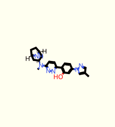 Cc1cnn(-c2ccc(-c3ccc(N(C)[C@H]4C[C@H]5CC[C@@H](C4)N5)nn3)c(O)c2)c1